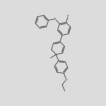 CCOc1ccc(C2(C)C=CC(c3ccc(F)c(Oc4ccccc4)c3)=CC2)cc1